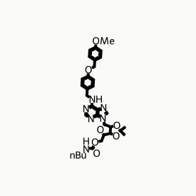 CCCCNC(=O)OCC1OC(n2cnc3c(NCc4ccc(OCc5ccc(OC)cc5)cc4)ncnc32)C2OC(C)(C)OC12